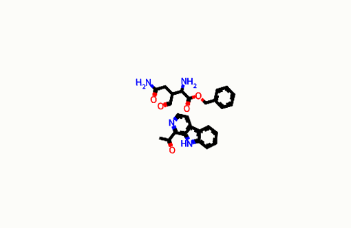 CC(=O)c1nccc2c1[nH]c1ccccc12.NC(=O)CC(C=O)C(N)C(=O)OCc1ccccc1